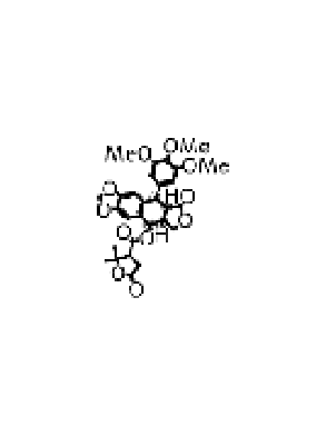 COc1cc([C@@H]2c3cc4c(cc3[C@H](OC(=O)C3CC(=O)OC3(C)C)[C@H]3COC(=O)[C@@H]23)OCO4)cc(OC)c1OC